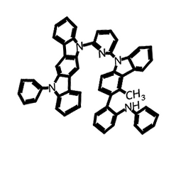 Cc1c(-c2ccccc2Nc2ccccc2)ccc2c1c1ccccc1n2-c1cccc(-n2c3ccccc3c3cc4c(cc32)c2ccccc2n4-c2ccccc2)n1